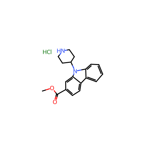 COC(=O)c1ccc2c3ccccc3n(C3CCNCC3)c2c1.Cl